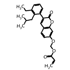 C=CC(=O)OCOc1ccc2cc(-c3cccc(CC)c3CC(C)C)c(=O)oc2c1